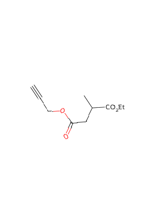 C#CCOC(=O)CC(C)C(=O)OCC